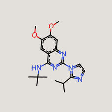 COc1cc2nc(-n3ccnc3C(C)C)nc(NC(C)(C)C)c2cc1OC